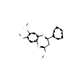 COc1cc2c(cc1OC)N=C(c1ccccc1)CC(SC)=N2